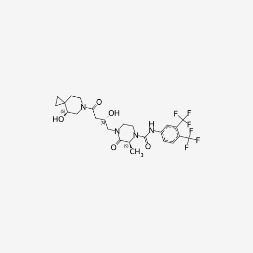 C[C@H]1C(=O)N(C[C@@H](O)CC(=O)N2CCC3(CC3)[C@H](O)C2)CCN1C(=O)Nc1ccc(C(F)(F)F)c(C(F)(F)F)c1